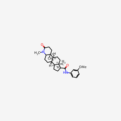 COc1cccc(NC(=O)C2CC[C@H]3[C@@H]4CCC5N(C)C(=O)CC[C@]5(C)[C@@H]4CC[C@]23C)c1